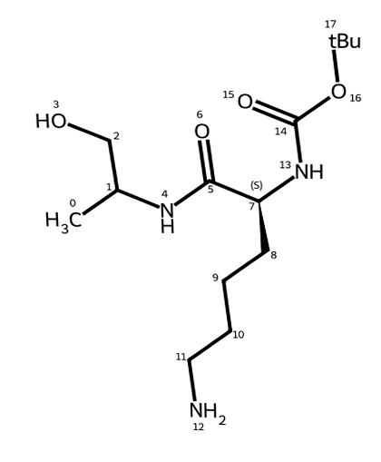 CC(CO)NC(=O)[C@H](CCCCN)NC(=O)OC(C)(C)C